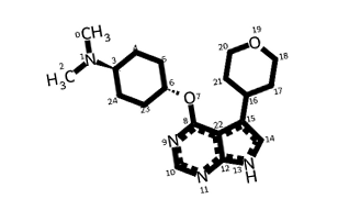 CN(C)[C@H]1CC[C@H](Oc2ncnc3[nH]cc(C4CCOCC4)c23)CC1